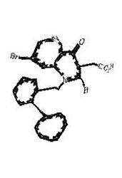 CCc1c(C(=O)O)c(=O)c2ncc(Br)cc2n1Cc1ccccc1-c1ccccc1